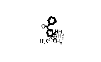 COC1(OC)C=CC(C(=O)c2ccccc2)=CC1(N)N